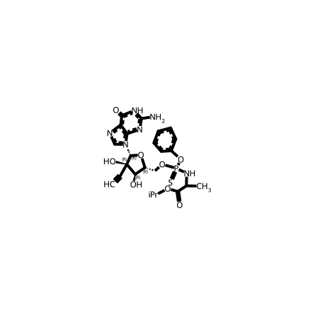 C#C[C@@]1(O)[C@H](O)[C@@H](COP(=S)(NC(C)C(=O)OC(C)C)Oc2ccccc2)O[C@H]1n1cnc2c(=O)[nH]c(N)nc21